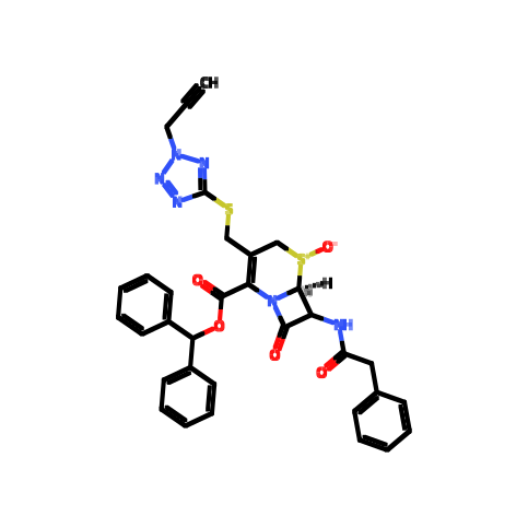 C#CCn1nnc(SCC2=C(C(=O)OC(c3ccccc3)c3ccccc3)N3C(=O)C(NC(=O)Cc4ccccc4)[C@@H]3[S+]([O-])C2)n1